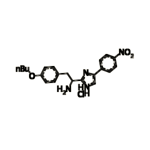 CCCCOc1ccc(CC(N)c2nc(-c3ccc([N+](=O)[O-])cc3)c[nH]2)cc1.Cl